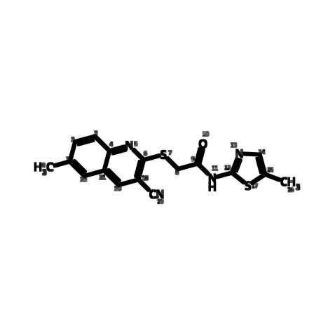 Cc1ccc2nc(SCC(=O)Nc3ncc(C)s3)c(C#N)cc2c1